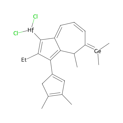 CCC1=[C]([Hf]([Cl])[Cl])C2=CC=C[C](=[Ge]([CH3])[CH3])C(C)C2=C1C1=CC(C)=C(C)C1